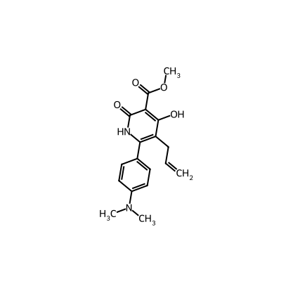 C=CCc1c(-c2ccc(N(C)C)cc2)[nH]c(=O)c(C(=O)OC)c1O